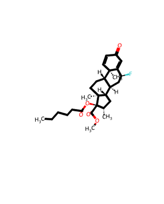 CCCCCC(=O)O[C@]1(C(=O)OC)[C@@H](C)C[C@H]2[C@@H]3C[C@H](F)C4=CC(=O)C=C[C@]4(C)[C@H]3CC[C@@]21C